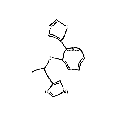 CC(Oc1ccccc1-c1cccs1)c1c[nH]cn1